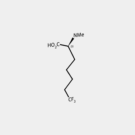 CN[C@@H](CCCCC(F)(F)F)C(=O)O